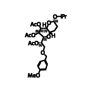 COc1ccc(COC[C@H](OC(C)=O)[C@@H]2O[C@H]3CC[C@@H](OC(C)C)O[C@@H]3[C@H](OC(C)=O)[C@@H]2OC(C)=O)cc1